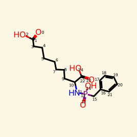 O=C(O)CCCCCCCC(NP(=O)(O)Cc1ccccc1)C(=O)O